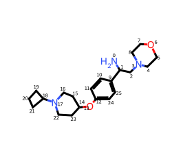 NC(CN1CCOCC1)c1ccc(OC2CCN(C3CCC3)CC2)cc1